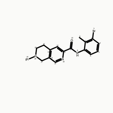 Cc1c(Br)cccc1NC(=O)c1cc2c(cn1)CN(C(C)C)CC2